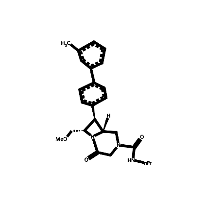 CCCNC(=O)N1CC(=O)N2[C@H](COC)[C@@H](c3ccc(-c4cccc(C)c4)cc3)[C@@H]2C1